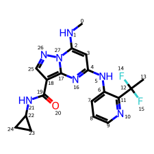 CNc1cc(Nc2cccnc2C(C)(F)F)nc2c(C(=O)NC3CC3)cnn12